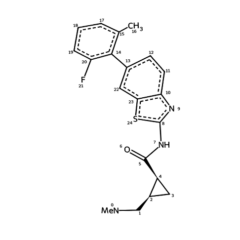 CNC[C@@H]1C[C@@H]1C(=O)Nc1nc2ccc(-c3c(C)cccc3F)cc2s1